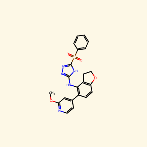 COc1cc(-c2ccc3c(c2Nc2nnc(S(=O)(=O)c4ccccc4)[nH]2)CCO3)ccn1